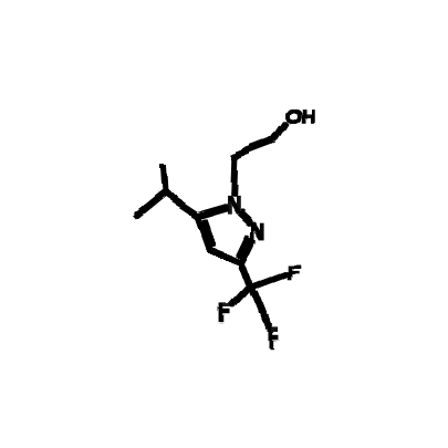 CC(C)c1cc(C(F)(F)F)nn1CCO